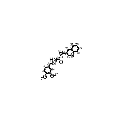 COc1ccc(C=NNC(=O)[C@H]2CC2c2cnc3ccccc3c2)cc1OC